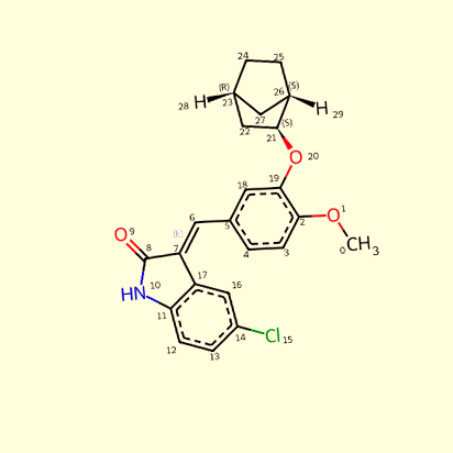 COc1ccc(/C=C2/C(=O)Nc3ccc(Cl)cc32)cc1O[C@H]1C[C@@H]2CC[C@H]1C2